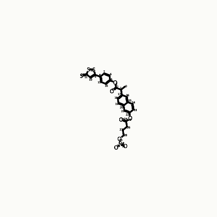 CC(C(=O)Oc1ccc(-c2cc(=S)ss2)cc1)c1ccc2cc(OC(=O)CCCO[N+](=O)[O-])ccc2c1